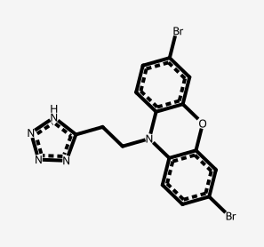 Brc1ccc2c(c1)Oc1cc(Br)ccc1N2CCc1nnn[nH]1